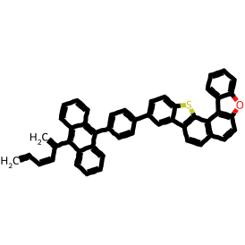 C=C/C=C\C(=C)c1c2ccccc2c(-c2ccc(-c3ccc4sc5c(ccc6ccc7oc8ccccc8c7c65)c4c3)cc2)c2ccccc12